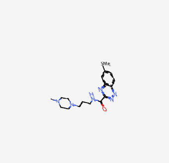 CSc1ccc2nnc(C(=O)NCCCN3CCN(C)CC3)nc2c1